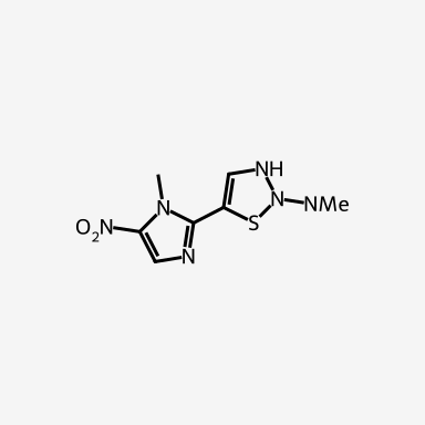 CNN1NC=C(c2ncc([N+](=O)[O-])n2C)S1